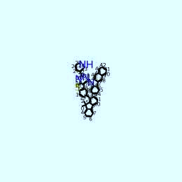 CC1(C)c2ccccc2-c2cccc(-c3ccc4sc5nc(C6=CNCC=C6)nc(-n6c7ccccc7c7cc8ccccc8cc76)c5c4c3)c21